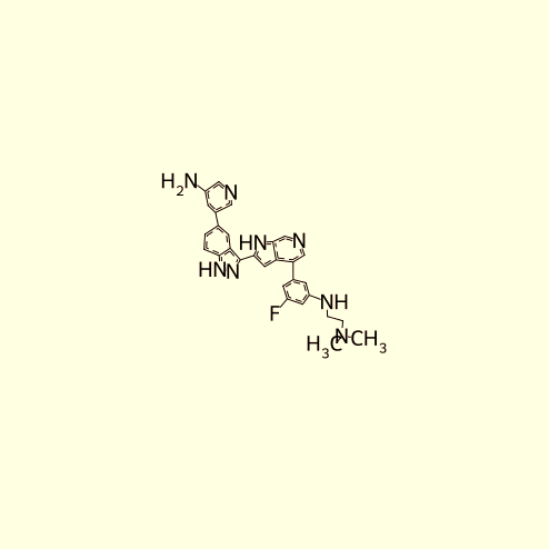 CN(C)CCNc1cc(F)cc(-c2cncc3[nH]c(-c4n[nH]c5ccc(-c6cncc(N)c6)cc45)cc23)c1